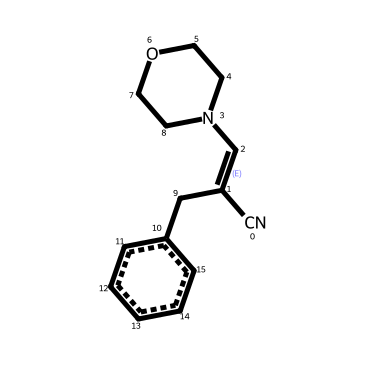 N#C/C(=C/N1CCOCC1)Cc1ccccc1